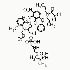 C=CCN(CC=C)C(=O)C(Cl)Cl.CCOCN(C(=O)CCl)c1c(C)cccc1CC.C[S+](C)C.Nc1c([N+](=O)[O-])ccc(Oc2ccccc2)c1Cl.O=C(O)CNCP(=O)([O-])O